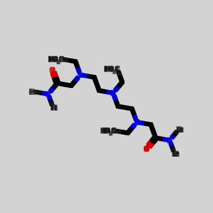 CCN(CC)C(=O)CN(CCN(CCN(CC(=O)O)CC(=O)N(CC)CC)CC(=O)O)CC(=O)O